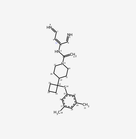 C=C(N/C(C=N)=C/C=N)N1CCC(C2(Sc3cc(C)cc(C)c3)CCC2)CC1